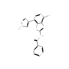 Cn1cc(-c2cnc(Br)c3nc(NC(=O)c4ccccc4)sc23)cn1